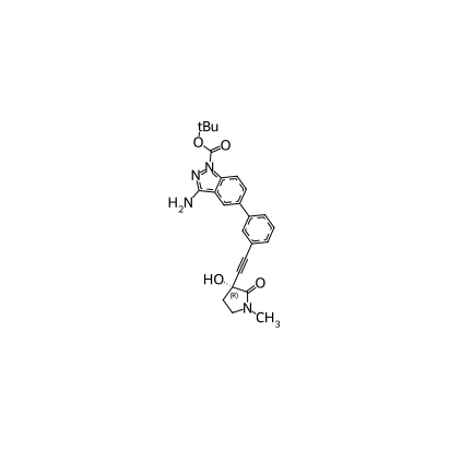 CN1CC[C@@](O)(C#Cc2cccc(-c3ccc4c(c3)c(N)nn4C(=O)OC(C)(C)C)c2)C1=O